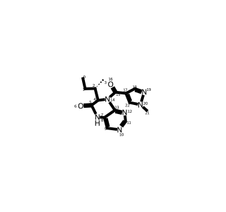 CC[C@H](C)C1C(=O)Nc2cncnc2N1C(=O)c1cnn(C)c1